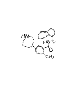 Cc1ccc(N2CCCNCC2)cc1C(=O)NC1(c2cccc3ccccc23)CC1